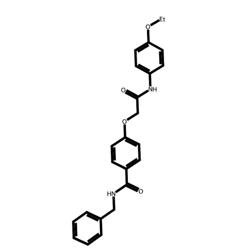 CCOc1ccc(NC(=O)COc2ccc(C(=O)NCc3ccccc3)cc2)cc1